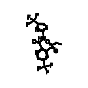 CCS(=O)(=O)c1cc(C(F)(F)F)cnc1C(=O)Nc1nc(C(F)(F)F)cs1